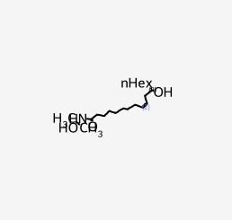 CCCCCC[C@@H](O)C/C=C\CCCCCCCC(=O)NC(C)(C)O